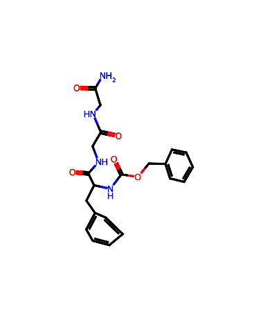 NC(=O)CNC(=O)CNC(=O)C(Cc1ccccc1)NC(=O)OCc1ccccc1